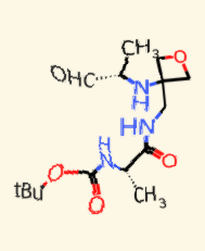 C[C@H](NC(=O)OC(C)(C)C)C(=O)NCC1(N[C@@H](C)C=O)COC1